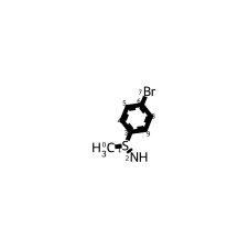 CS(=N)c1ccc(Br)cc1